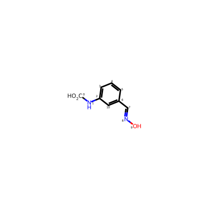 O=C(O)Nc1cccc(C=NO)c1